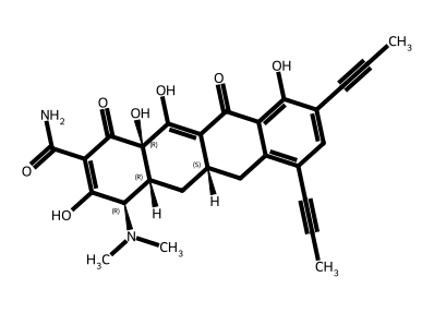 CC#Cc1cc(C#CC)c2c(c1O)C(=O)C1=C(O)[C@@]3(O)C(=O)C(C(N)=O)=C(O)[C@H](N(C)C)[C@H]3C[C@H]1C2